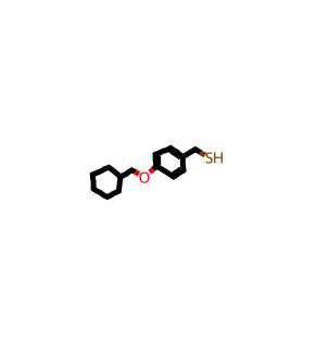 SCc1ccc(OCC2CCCCC2)cc1